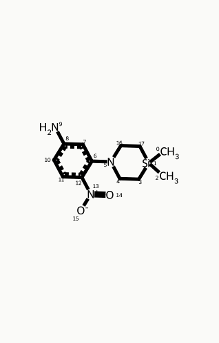 C[Si]1(C)CCN(c2cc(N)ccc2[N+](=O)[O-])CC1